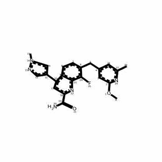 COc1cc(Cc2ccc3c(-c4cnn(C)c4)cc(C(N)=O)nc3c2F)cc(C)n1